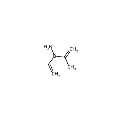 BB(C=C)C(=C)C